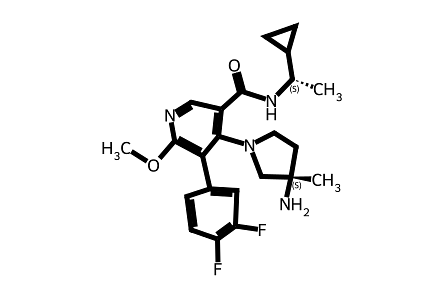 COc1ncc(C(=O)N[C@@H](C)C2CC2)c(N2CC[C@](C)(N)C2)c1-c1ccc(F)c(F)c1